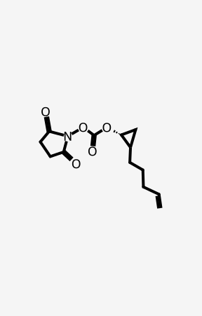 C=CCCCC1C[C@H]1OC(=O)ON1C(=O)CCC1=O